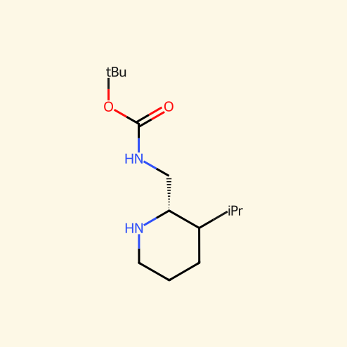 CC(C)C1CCCN[C@@H]1CNC(=O)OC(C)(C)C